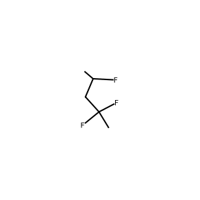 CC(F)CC(C)(F)F